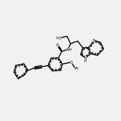 CC(C)Oc1ccc(C#Cc2ccccc2)cc1C(=O)NC(CO)Cc1c[nH]c2cccnc12